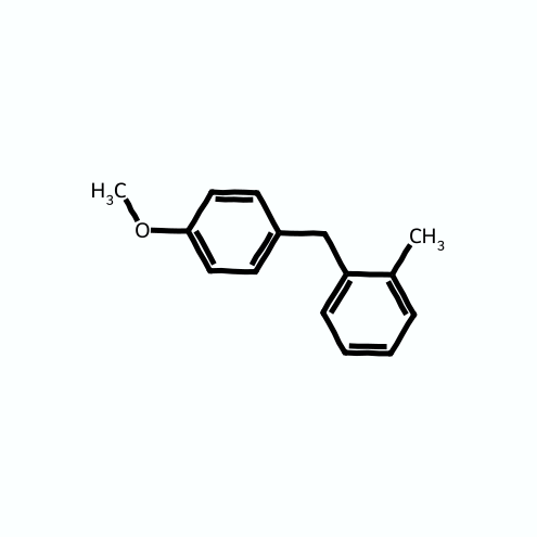 COc1ccc(Cc2ccccc2C)cc1